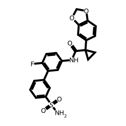 NS(=O)(=O)c1cccc(-c2cc(NC(=O)C3(c4ccc5c(c4)OCO5)CC3)ccc2F)c1